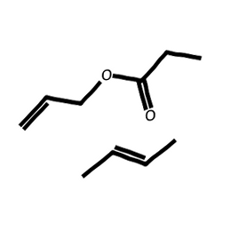 C=CCOC(=O)CC.CC=CC